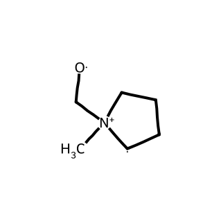 C[N+]1(C[O])[CH]CCC1